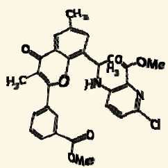 COC(=O)c1cccc(-c2oc3c(C(C)Nc4ccc(Cl)nc4C(=O)OC)cc(C)cc3c(=O)c2C)c1